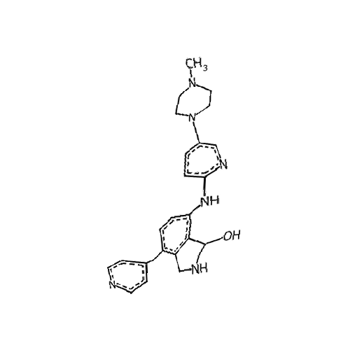 CN1CCN(c2ccc(Nc3ccc(-c4ccncc4)c4c3C(O)NC4)nc2)CC1